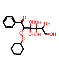 O=C(c1ccccc1)C(OOC1CCCCC1)C(O)(O)C(O)(O)C(O)CO